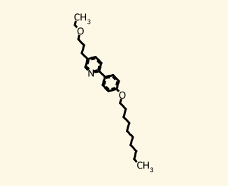 CCCCCCCCCCOc1ccc(-c2ccc(CCCOCC)cn2)cc1